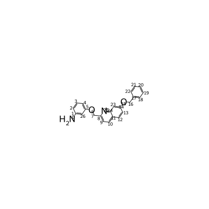 Nc1cccc(OCc2ccc3ccc(OCc4ccccc4)cc3n2)c1